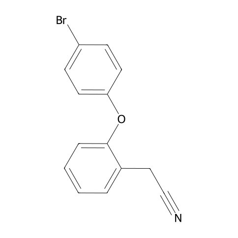 N#CCc1ccccc1Oc1ccc(Br)cc1